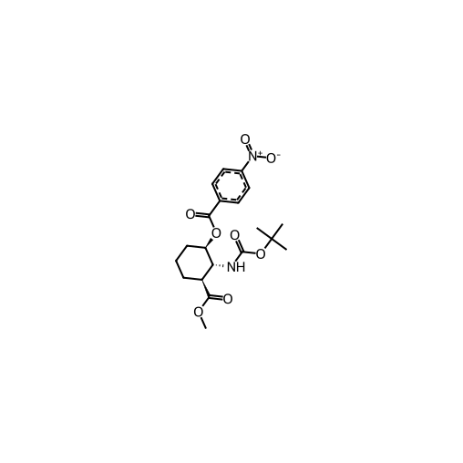 COC(=O)[C@H]1CCC[C@@H](OC(=O)c2ccc([N+](=O)[O-])cc2)[C@@H]1NC(=O)OC(C)(C)C